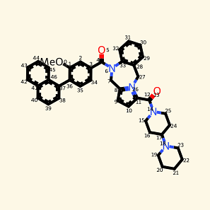 COc1cc(C(=O)N2Cc3ccc(C(=O)N4CCC(N5CCCCC5)CC4)n3Cc3ccccc32)ccc1-c1cccc2ccccc12